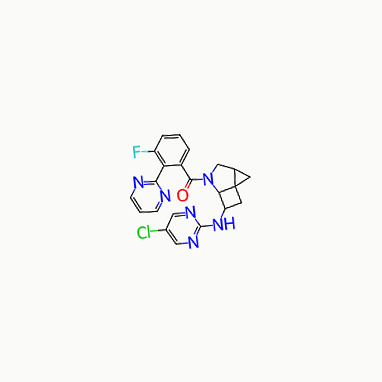 O=C(c1cccc(F)c1-c1ncccn1)N1CC2CC23CC(Nc2ncc(Cl)cn2)C13